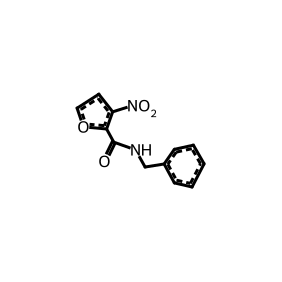 O=C(NCc1ccccc1)c1occc1[N+](=O)[O-]